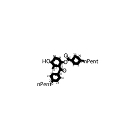 CCCCCc1ccc(C(=O)Oc2ccc(O)c(C)c2C(=O)c2ccc(CCCCC)cc2)cc1